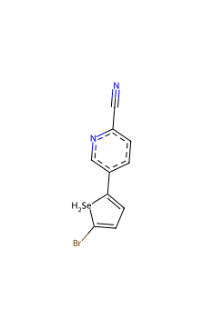 N#Cc1ccc(C2=CC=C(Br)[SeH2]2)cn1